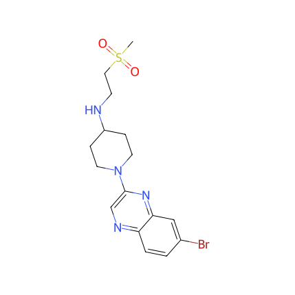 CS(=O)(=O)CCNC1CCN(c2cnc3ccc(Br)cc3n2)CC1